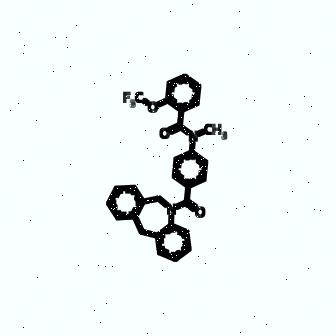 CN(C(=O)c1ccccc1OC(F)(F)F)c1ccc(C(=O)N2Cc3ccccc3Cc3ccccc32)cc1